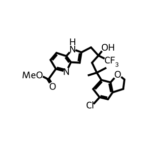 COC(=O)c1ccc2[nH]c(CC(O)(CC(C)(C)c3cc(Cl)cc4c3OCC4)C(F)(F)F)cc2n1